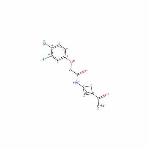 COC(=O)C12CC(NC(=O)COc3ccc(Cl)c(F)c3)(C1)C2